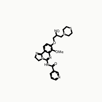 COc1c(OCC(CN2CCSCC2)N=O)ccc2c1N=C(NC(=O)c1cccnc1)N1CCN=C21